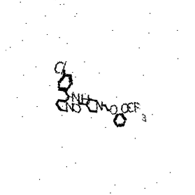 O=C(N[C@H](c1ccc(Cl)cc1)c1ccccn1)C1CCN(CCOc2ccccc2OC(F)(F)F)CC1